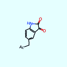 CC(=O)Cc1ccc2c(c1)C(=O)C(=O)N2